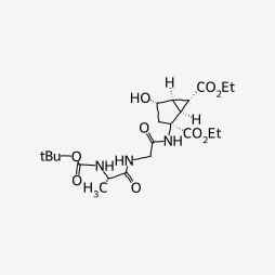 CCOC(=O)[C@H]1[C@H]2[C@@H]1[C@](NC(=O)CNC(=O)[C@H](C)NC(=O)OC(C)(C)C)(C(=O)OCC)C[C@@H]2O